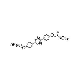 CCCCCCCCC(F)COc1ccc(-c2ncc(-c3ccc(OCCCCC)cc3)cn2)cc1